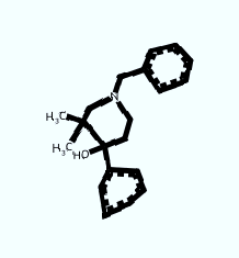 CC1(C)CN(Cc2ccccc2)CCC1(O)c1ccccc1